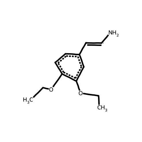 CCOc1ccc(C=[C]N)cc1OCC